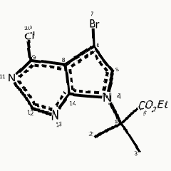 CCOC(=O)C(C)(C)n1cc(Br)c2c(Cl)ncnc21